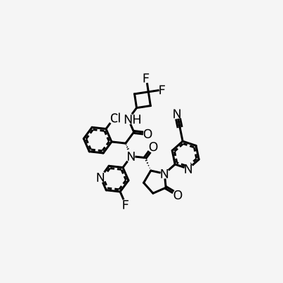 N#Cc1ccnc(N2C(=O)CC[C@@H]2C(=O)N(c2cncc(F)c2)[C@@H](C(=O)NC2CC(F)(F)C2)c2ccccc2Cl)c1